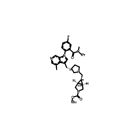 Cc1cncc2c1c(C[C@@H]1CCN(C[C@H]3[C@H]4CN(C(=O)OC(C)(C)C)C[C@@H]34)C1)cn2-c1ccc(F)cc1C(=O)N(C)C(C)C